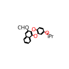 CC(C)Oc1ccc2c(c1)Oc1c(c(C=O)cc3ccccc13)O2